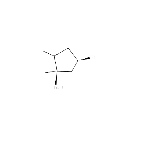 CCCC[C@]1(C)C[C@H](Br)CC1C